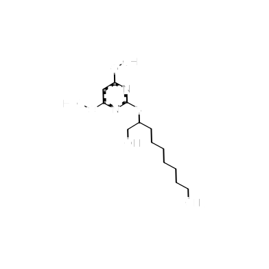 CCCCCCCCC(CO)Sc1nc(OC)cc(OC)n1